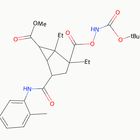 CCC1(C(=O)ONC(=O)OC(C)(C)C)CC(C(=O)Nc2ccccc2C)C2C(C(=O)OC)C21CC